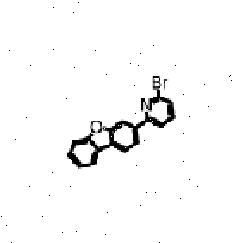 Brc1cccc(-c2ccc3c(c2)oc2ccccc23)n1